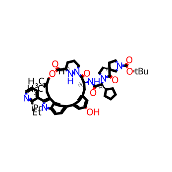 CCn1c(-c2cccnc2C(C)C)c2c3cc(ccc31)-c1cc(O)cc(c1)C[C@H](NC(=O)[C@H](C1CCCC1)N1CC[C@]3(CCN(C(=O)OC(C)(C)C)C3)C1=O)C(=O)N1CCC[C@H](N1)C(=O)OCC(C)(C)C2